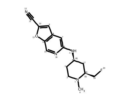 CN1CC[C@@H](Nc2cc3cc(C#N)oc3cn2)C[C@H]1CF